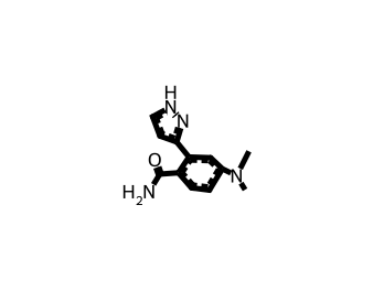 CN(C)c1ccc(C(N)=O)c(-c2cc[nH]n2)c1